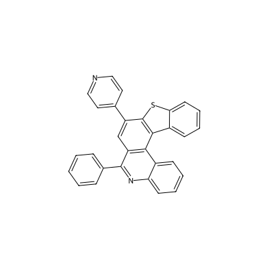 c1ccc(-c2nc3ccccc3c3c2cc(-c2ccncc2)c2sc4ccccc4c23)cc1